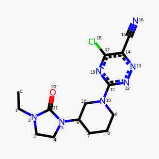 CCN1CCN(C2CCCN(c3nnc(C#N)c(Cl)n3)C2)C1=O